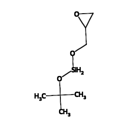 CC(C)(C)O[SiH2]OCC1CO1